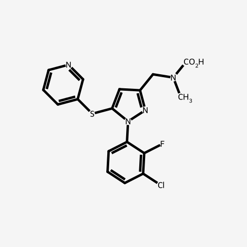 CN(Cc1cc(Sc2cccnc2)n(-c2cccc(Cl)c2F)n1)C(=O)O